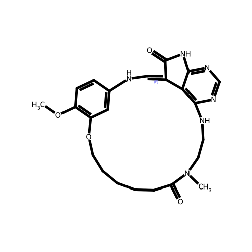 COc1ccc2cc1OCCCCCC(=O)N(C)CCNc1ncnc3c1/C(=C\N2)C(=O)N3